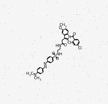 COc1ccc2c(c1)c(CC(=O)NCCNS(=O)(=O)c1ccc(/N=N/c3ccc(N(C)C)cc3)cc1)c(C)n2C(=O)c1ccc(Cl)cc1